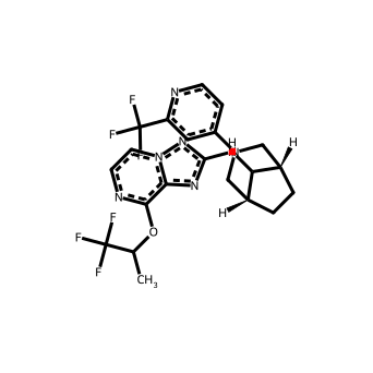 CC(Oc1nccn2nc(NC3[C@@H]4CC[C@H]3CN(c3ccnc(C(F)(F)F)c3)C4)nc12)C(F)(F)F